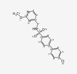 COc1nccc(CNS(=O)(=O)c2ccc(-c3ccc(Cl)cc3)cc2)n1